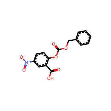 O=C(OCc1ccccc1)Oc1ccc([N+](=O)[O-])cc1C(=O)O